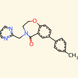 Cc1ccc(-c2ccc3c(c2)C(=O)N(Cc2ncccn2)CCO3)cc1